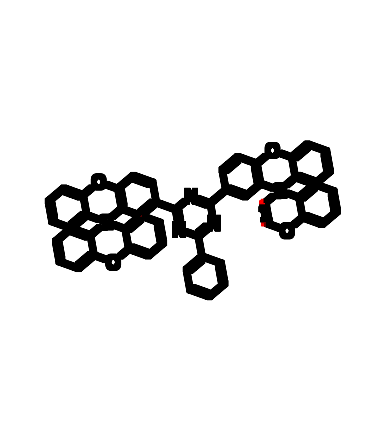 c1ccc(-c2nc(-c3ccc4c(c3)[Si]3(c5ccccc5Oc5ccccc53)c3ccccc3O4)nc(-c3ccc4c(c3)[Si]3(c5ccccc5Oc5ccccc53)c3ccccc3O4)n2)cc1